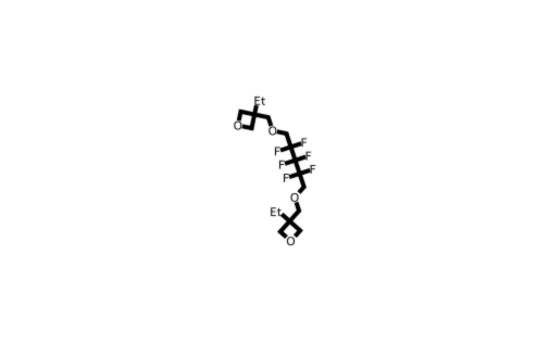 CCC1(COCC(F)(F)C(F)(F)C(F)(F)COCC2(CC)COC2)COC1